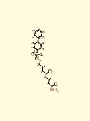 NC(=O)CCCC(O)CCCCOS(=O)(=O)c1ccc(-c2ccccc2)cc1